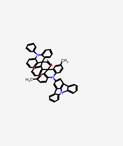 Cc1ccc2c(c1)C1(c3cc(C)ccc3N2c2cc3c4ccccc4n4c5ccccc5c(c2)c34)c2ccccc2C2(c3ccccc3N(c3ccccc3)c3ccccc32)c2ccccc21